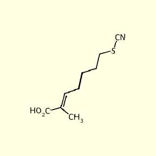 CC(=CCCCCSC#N)C(=O)O